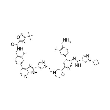 CC(C)(C)c1noc(C(=O)NCc2ccc(-c3ccnc4[nH]c(-c5cnn(CCN6CCOC(c7cc(-c8ccc(CN)c(F)c8)c8nc(-c9cnn(C%10CCC%10)c9)[nH]c8n7)C6)c5)nc34)cc2F)n1